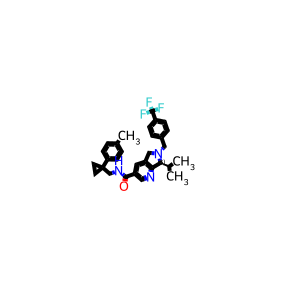 Cc1ccc(C2(CNC(=O)c3cnc4c(c3)CN(Cc3ccc(C(F)(F)F)cc3)[C@H]4C(C)C)CC2)cc1